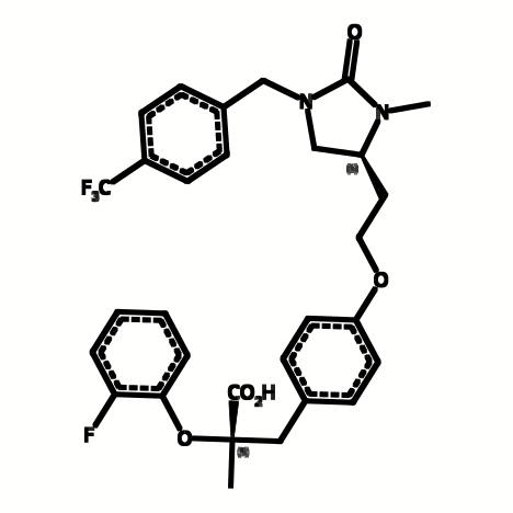 CN1C(=O)N(Cc2ccc(C(F)(F)F)cc2)C[C@@H]1CCOc1ccc(C[C@](C)(Oc2ccccc2F)C(=O)O)cc1